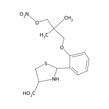 CC(C)(COc1ccccc1C1NC(C(=O)O)CS1)CO[N+](=O)[O-]